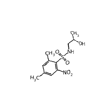 Cc1cc(C)c(S(=O)(=O)NCC(C)O)c([N+](=O)[O-])c1